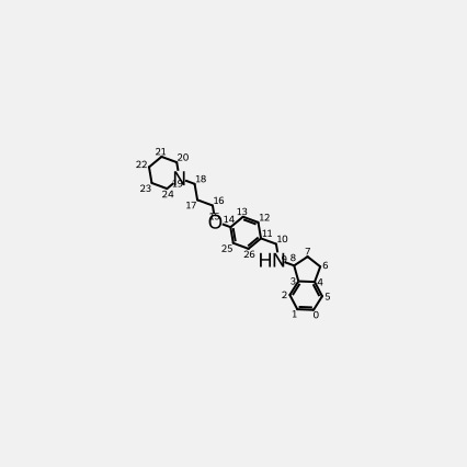 c1ccc2c(c1)CCC2NCc1ccc(OCCCN2CCCCC2)cc1